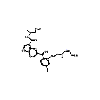 COCC(C)NC(=O)c1c[nH]c2ncc(C(=N)c3ccc(F)cc3NCCN/C=C\C=N)nc12